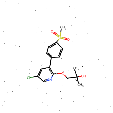 CC(C)(O)COc1ncc(Cl)cc1-c1ccc(S(C)(=O)=O)cc1